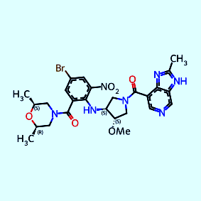 CO[C@H]1CN(C(=O)c2cncc3[nH]c(C)nc23)C[C@@H]1Nc1c(C(=O)N2C[C@@H](C)O[C@@H](C)C2)cc(Br)cc1[N+](=O)[O-]